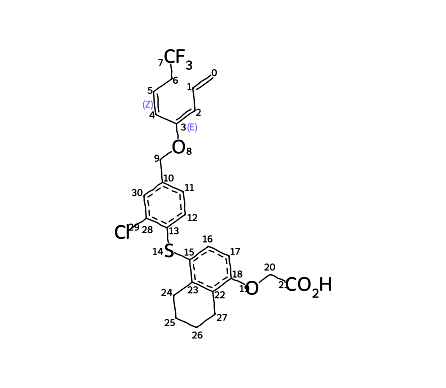 C=C/C=C(\C=C/CC(F)(F)F)OCc1ccc(Sc2ccc(OCC(=O)O)c3c2CCCC3)c(Cl)c1